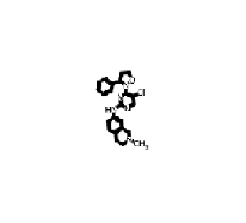 CN1CCc2ccc(Nc3ncc(Cl)c(N4OCCC4c4ccccc4)n3)cc2C1